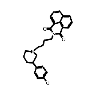 O=C1c2cccc3cccc(c23)C(=O)N1CCCCN1CCCC(c2ccc(Cl)cc2)C1